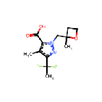 Cc1c(C(C)(F)F)nn(CC2(C)CCO2)c1C(=O)O